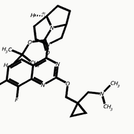 CN(C)CC1(COc2nc(N3CC[C@H]4CCC(C3)N4C(=O)OC(C)(C)C)c3ccc(Br)c(F)c3n2)CC1